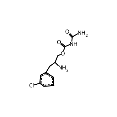 NC(=O)NC(=O)OCC(N)Cc1cccc(Cl)c1